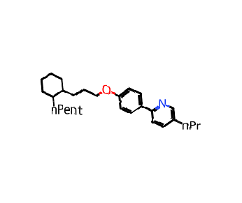 CCCCCC1CCCCC1CCCOc1ccc(-c2ccc(CCC)cn2)cc1